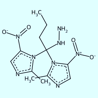 CCCC(NN)(n1c([N+](=O)[O-])cnc1C)n1c([N+](=O)[O-])cnc1C